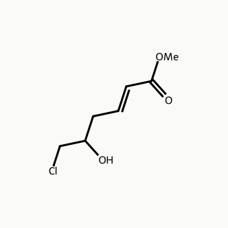 COC(=O)C=CCC(O)CCl